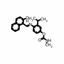 CNC(=O)Oc1ccc(N=Cc2c(O)ccc3ccccc23)c(C(C)C)c1